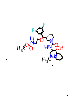 CNCC(NC(=O)N1CCC[C@@H]([C@@H](OCCNC(=O)OC)c2cc(F)cc(F)c2)C1)C(O)C1CCCCC1